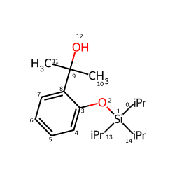 CC(C)[Si](Oc1ccccc1C(C)(C)O)(C(C)C)C(C)C